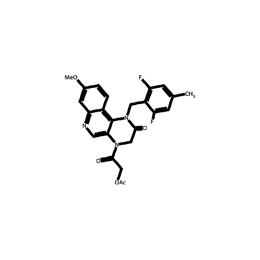 COc1ccc2c3c(cnc2c1)N(C(=O)COC(C)=O)CC(=O)N3Cc1c(F)cc(C)cc1F